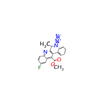 COC(=O)c1c(-c2ccccc2)c(C(C)N=[N+]=[N-])nc2ccc(F)cc12